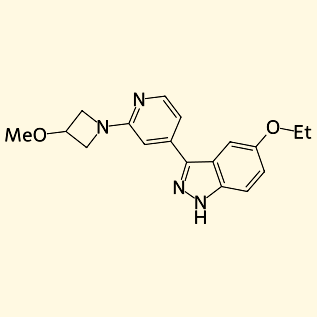 CCOc1ccc2[nH]nc(-c3ccnc(N4CC(OC)C4)c3)c2c1